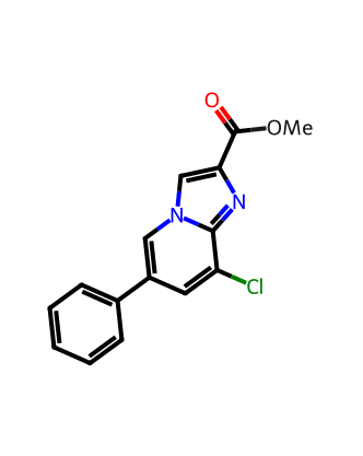 COC(=O)c1cn2cc(-c3ccccc3)cc(Cl)c2n1